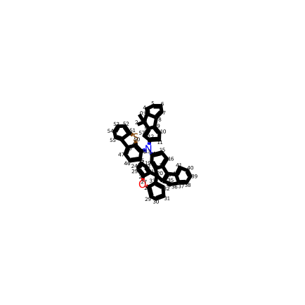 CC1(C)c2ccccc2-c2ccc(N(c3ccc4c(c3)C3(c5ccccc5Oc5ccccc53)c3ccc5ccccc5c3-4)c3cccc4c3sc3ccccc34)cc21